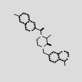 CC1C(=O)N(Cc2ccc3c(N)ncnc3c2)CCN1C(=O)c1cc2ccc(Cl)cc2cn1